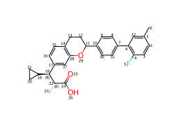 Cc1ccc(F)c(-c2ccc(C3CCc4ccc([C@H](C5CC5)[C@@H](C)C(=O)O)cc4O3)cc2)c1